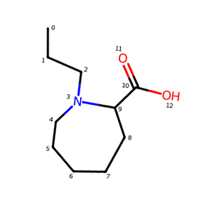 CCCN1CCCCCC1C(=O)O